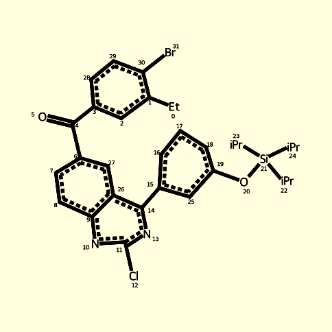 CCc1cc(C(=O)c2ccc3nc(Cl)nc(-c4cccc(O[Si](C(C)C)(C(C)C)C(C)C)c4)c3c2)ccc1Br